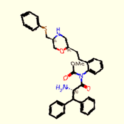 COC(=O)N(C(=O)[C@@H](N)C(c1ccccc1)c1ccccc1)c1ccccc1CC[C@@H]1CN[C@H](CSc2ccccc2)CO1